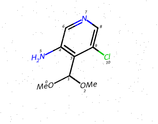 COC(OC)c1c(N)cncc1Cl